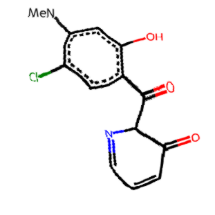 CNc1cc(O)c(C(=O)C2N=CC=CC2=O)cc1Cl